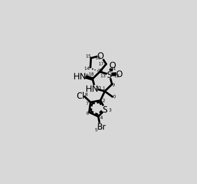 CC1(c2sc(Br)cc2Cl)CS(=O)(=O)[C@@]2(CCOC2)C(=N)N1